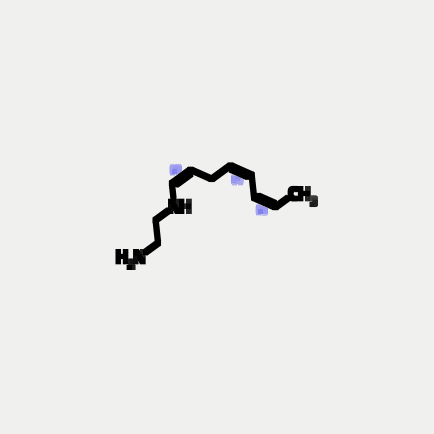 C/C=C\C=C/C/C=C\NCCN